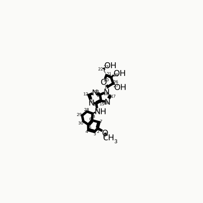 COc1ccc2c(c1)[C@H](Nc1ncnc3c1ncn3[C@@H]1O[C@H](CO)[C@@H](O)[C@H]1O)CCC2